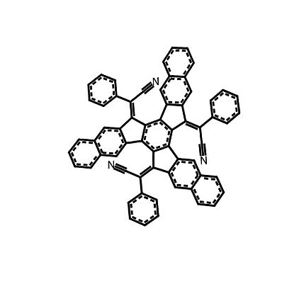 N#C/C(=C1/c2cc3ccccc3cc2-c2c1c1c(c3c2/C(=C(\C#N)c2ccccc2)c2cc4ccccc4cc2-3)/C(=C(\C#N)c2ccccc2)c2cc3ccccc3cc2-1)c1ccccc1